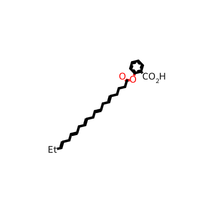 CC/C=C/C/C=C/C/C=C/C/C=C/C/C=C/CCCC(=O)Oc1ccccc1C(=O)O